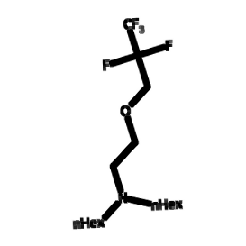 CCCCCCN(CCCCCC)CCOCC(F)(F)C(F)(F)F